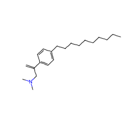 C=C(CN(C)C)c1ccc(CCCCCCCCCC)cc1